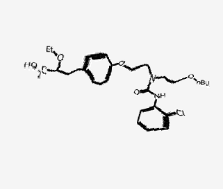 CCCCOCCN(CCOc1ccc(CC(OCC)C(=O)O)cc1)C(=O)Nc1ccccc1Cl